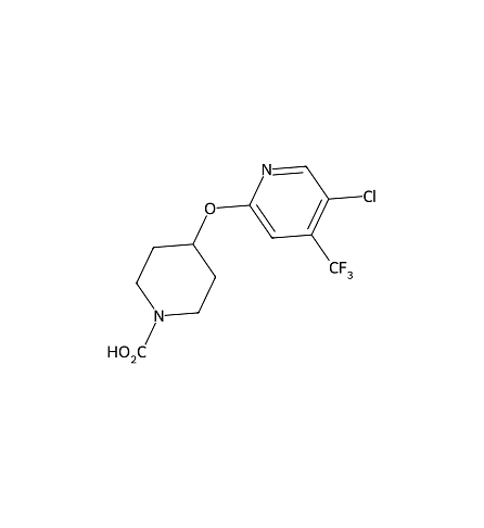 O=C(O)N1CCC(Oc2cc(C(F)(F)F)c(Cl)cn2)CC1